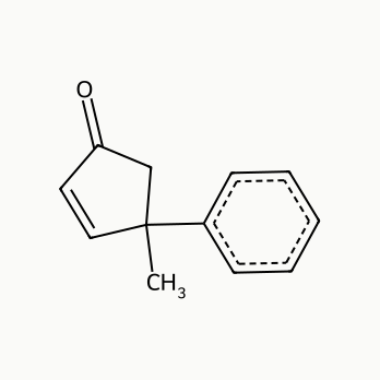 CC1(c2ccccc2)C=CC(=O)C1